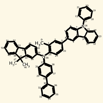 Cc1cc(-c2ccc3c(c2)c2ccccc2n3-c2ccccc2)ccc1N(c1ccc(-c2ccccc2)cc1)c1ccc2c(c1)C(C)(C)c1ccccc1-2